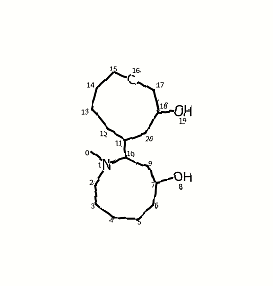 CN1CCCCCC(O)CC1C1CCCCCCC(O)C1